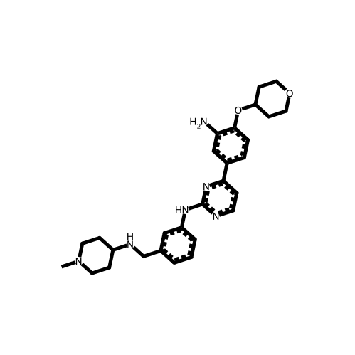 CN1CCC(NCc2cccc(Nc3nccc(-c4ccc(OC5CCOCC5)c(N)c4)n3)c2)CC1